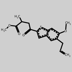 C=CCc1cc2cc(C(=O)CC(C)C(=O)OC)sc2cc1OC